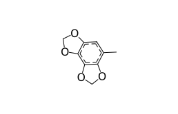 Cc1cc2c(c3c1OCO3)OCO2